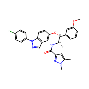 COc1cccc([C@@H](Oc2ccc3c(cnn3-c3ccc(F)cc3)c2)[C@H](C)NC(=O)c2cc(C)n(C)n2)c1